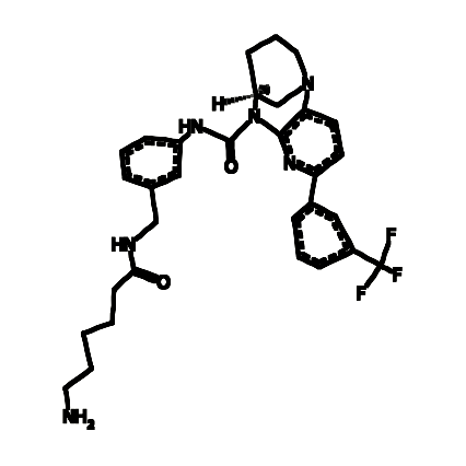 NCCCCCC(=O)NCc1cccc(NC(=O)N2c3nc(-c4cccc(C(F)(F)F)c4)ccc3N3CCC[C@H]2C3)c1